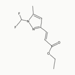 CCOC(=O)C=Cc1cc(C)n(C(F)F)n1